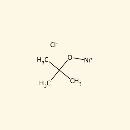 CC(C)(C)[O][Ni+].[Cl-]